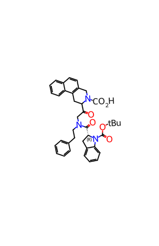 CC(C)(C)OC(=O)N1c2ccccc2C[C@@H]1C(=O)N(CCc1ccccc1)CC(=O)C1Cc2c(ccc3ccccc23)CN1C(=O)O